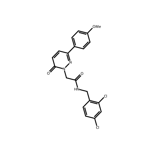 COc1ccc(-c2ccc(=O)n(CC(=O)NCc3ccc(Cl)cc3Cl)n2)cc1